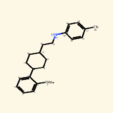 COc1ccccc1C1CCC(CCNc2ccc(C#N)cc2)CC1